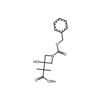 COC(=O)C(C)(C)C1(O)CN(C(=O)OCc2ccccc2)C1